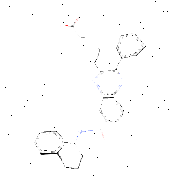 C[C@H](CCc1nc2cc(C(=O)N[C@H]3CCCc4ccccc43)ccc2nc1-c1ccccc1)CC(=O)O